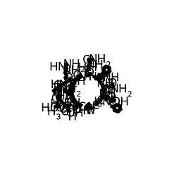 C[C@@H](O)[C@@H]1NC(=O)[C@@H]2Cc3cn(nn3)CCC[C@H](C(=O)N[C@@H](Cc3ccccc3)C(=O)O)NC(=O)[C@H](CCC(N)=O)NC(=O)[C@H](Cc3c[nH]c4ccccc34)NC(=O)[C@H](CCCNC(N)=O)NC(=O)C(CSSC[C@H](NC(=O)CN)C(=O)N2)NC(=O)[C@H](CCCNC(=N)N)NC(=O)C2CCCN2C(=O)[C@H](CC(=O)O)NC1=O